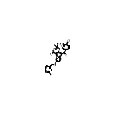 Cc1cccc(COc2ccc3c(C(=O)c4ccc(Cl)cc4)c(CC(C)(C)C(=O)O)c(C(=O)C(C)(C)C)n3c2)n1